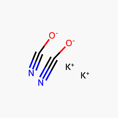 N#C[O-].N#C[O-].[K+].[K+]